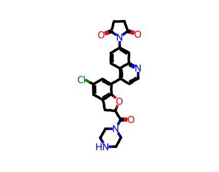 O=C(C1Cc2cc(Cl)cc(-c3ccnc4cc(N5C(=O)CCC5=O)ccc34)c2O1)N1CCNCC1